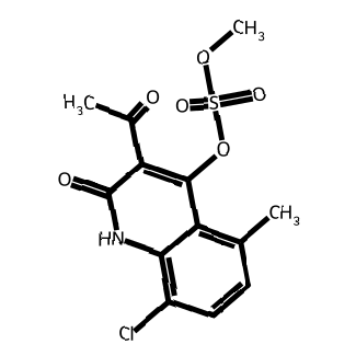 COS(=O)(=O)Oc1c(C(C)=O)c(=O)[nH]c2c(Cl)ccc(C)c12